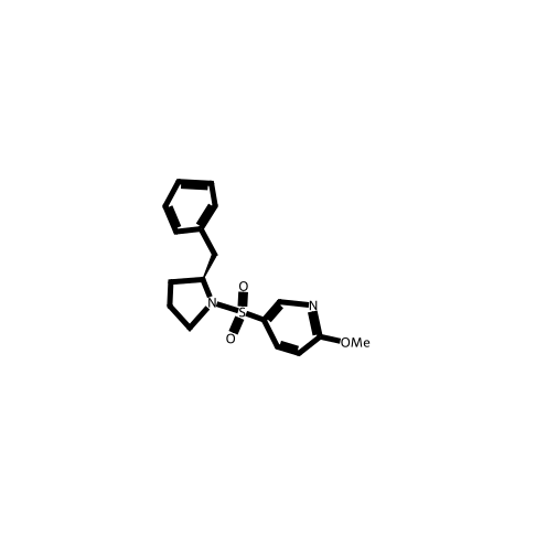 COc1ccc(S(=O)(=O)N2CCC[C@H]2Cc2ccccc2)cn1